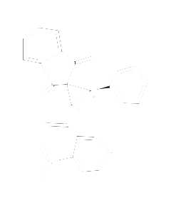 O=C(c1ccccc1[N+](=O)[O-])[C@H]1[C@H](c2ccccc2)C12C(=O)c1ccccc1C2=O